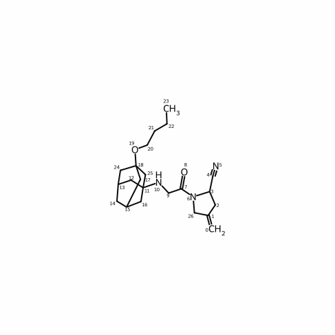 C=C1CC(C#N)N(C(=O)CNC23CC4CC(C2)CC(OCCCC)(C4)C3)C1